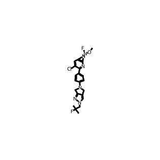 CON(F)N1c2cc(Cl)c(-c3ccc(N4Cc5cn(CC(C)(C)F)nc5C4)cc3)nc21